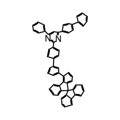 c1ccc(-c2ccc(-c3cc(-c4ccccc4)nc(-c4ccc(-c5cccc(-c6cccc7c6-c6ccccc6C76c7ccccc7-c7ccccc76)c5)cc4)n3)cc2)cc1